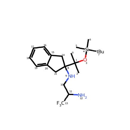 CC(C)(O[Si](C)(C)C(C)(C)C)C1(NCC(N)C(F)(F)F)Cc2ccccc2C1